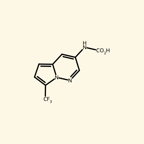 O=C(O)Nc1cnn2c(C(F)(F)F)ccc2c1